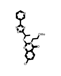 COCCn1c(SC(C)c2nc(-c3cccnc3)no2)nc2cc(Cl)ccc2c1=O